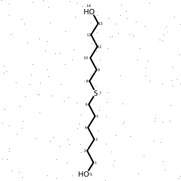 OCCCCCCSCCCCCCO